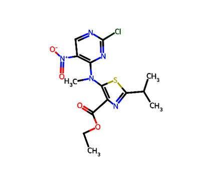 CCOC(=O)c1nc(C(C)C)sc1N(C)c1nc(Cl)ncc1[N+](=O)[O-]